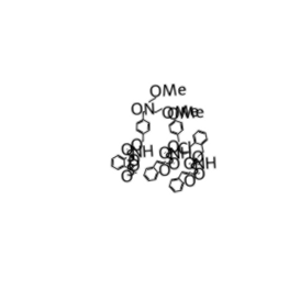 COCCN(CCOC)C(=O)c1ccc(CONS(=O)(=O)c2ccccc2S(C)(=O)=O)cc1.COc1ccc(CONS(=O)(=O)c2cc3ccccc3o2)cc1.O=S(=O)(NOCc1ccccc1Cl)c1cc2ccccc2o1